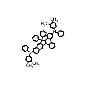 Cc1ccc(N(c2ccccc2)c2ccc3cc4c(cc3c2)C(c2ccccc2)(c2ccccc2)c2c-4c3ccccc3c3cc(N(c4ccccc4)c4ccc(C)c(C)c4)ccc23)cc1C